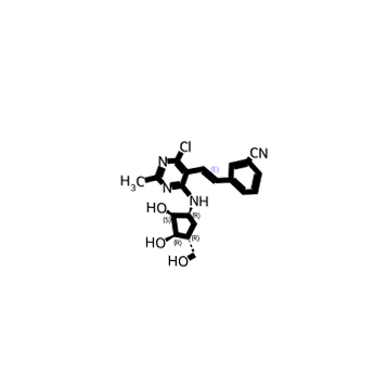 Cc1nc(Cl)c(/C=C/c2cccc(C#N)c2)c(N[C@@H]2C[C@H](CO)[C@@H](O)[C@H]2O)n1